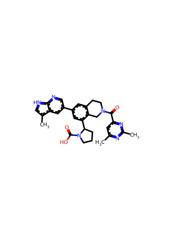 Cc1cc(C(=O)N2CCc3cc(-c4cnc5[nH]cc(C)c5c4)cc(C4CCCN4C(=O)O)c3C2)nc(C)n1